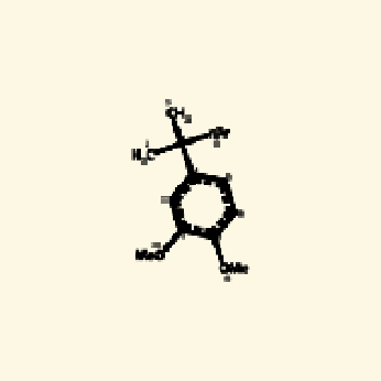 CCCC(C)(C)c1ccc(OC)c(OC)c1